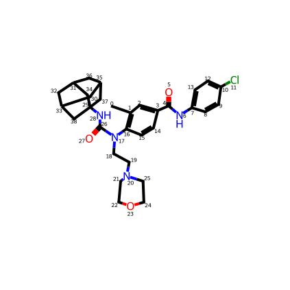 Cc1cc(C(=O)Nc2ccc(Cl)cc2)ccc1N(CCN1CCOCC1)C(=O)NC12CC3CC(CC(C3)C1)C2